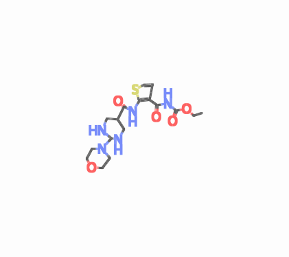 CCOC(=O)NC(=O)c1ccsc1NC(=O)C1CNC(N2CCOCC2)NC1